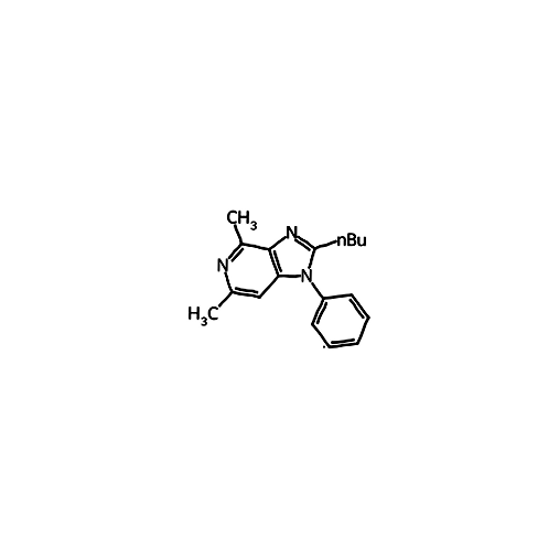 CCCCc1nc2c(C)nc(C)cc2n1-c1c[c]ccc1